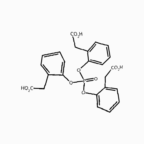 O=C(O)Cc1ccccc1OP(=O)(Oc1ccccc1CC(=O)O)Oc1ccccc1CC(=O)O